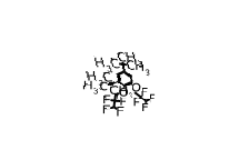 CC(C)(C)c1cc(OCC(F)(F)C(F)F)c(OCC(F)(F)C(F)F)c(C(C)(C)C)c1